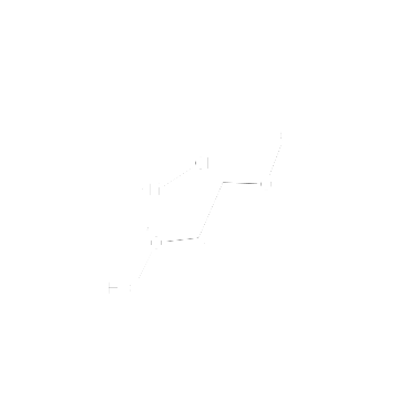 COCCOC.[Li][CH3]